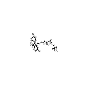 CC(CCCCCCCC(C)(CCCC(F)(F)C(F)(F)F)C(=O)O)C1c2ccc(O)cc2OCC1(C)c1ccc(O)cc1